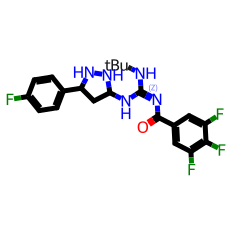 CC(C)(C)N/C(=N/C(=O)c1cc(F)c(F)c(F)c1)NC1CC(c2ccc(F)cc2)NN1